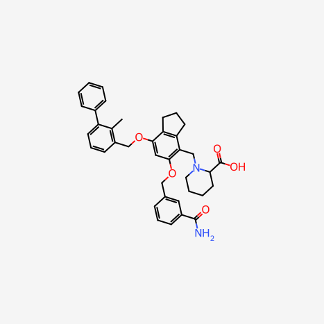 Cc1c(COc2cc(OCc3cccc(C(N)=O)c3)c(CN3CCCCC3C(=O)O)c3c2CCC3)cccc1-c1ccccc1